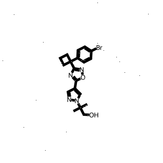 CC(C)(CO)n1cc(-c2nc(C3(c4ccc(Br)cc4)CCC3)no2)cn1